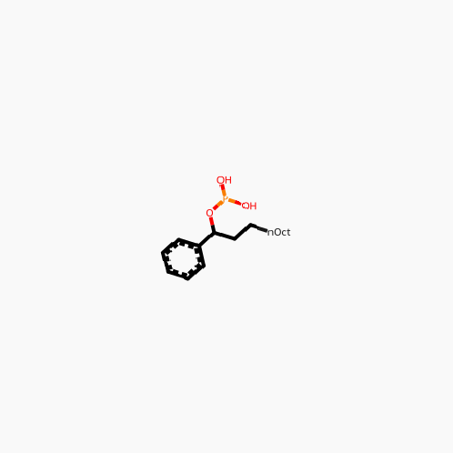 CCCCCCCCCCC(OP(O)O)c1ccccc1